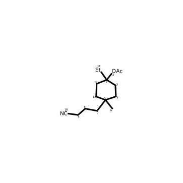 CCC1(OC(C)=O)CCC(C)(CCCC#N)CC1